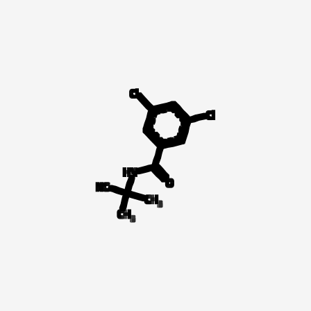 CC(C)(C#N)NC(=O)c1cc(Cl)cc(Cl)c1